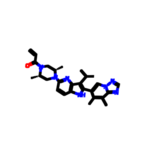 C=CC(=O)N1C[C@H](C)N(c2ccc3[nH]c(-c4cn5ncnc5c(C)c4C)c(C(C)C)c3n2)C[C@@H]1C